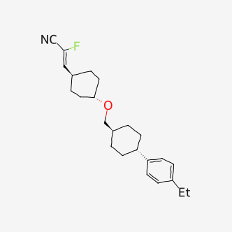 CCc1ccc([C@H]2CC[C@H](CO[C@H]3CC[C@H](C=C(F)C#N)CC3)CC2)cc1